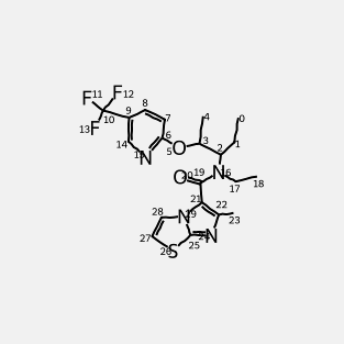 CCC(C(C)Oc1ccc(C(F)(F)F)cn1)N(CC)C(=O)c1c(C)nc2sccn12